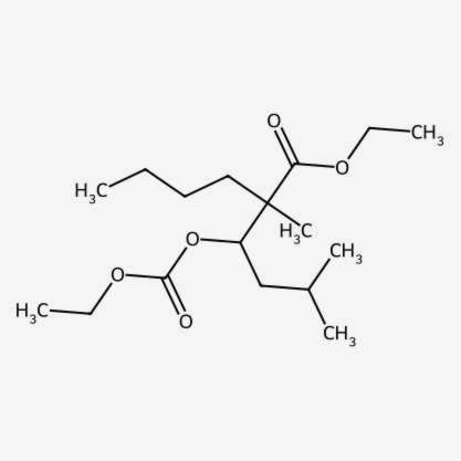 CCCCC(C)(C(=O)OCC)C(CC(C)C)OC(=O)OCC